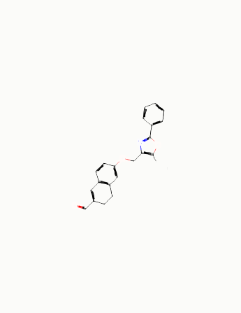 Cc1oc(-c2ccccc2)nc1COc1ccc2c(c1)CCC(C=O)=C2